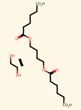 C=C.O=C(O)CCCCC(=O)OCCCCOC(=O)CCCCC(=O)O.OCCO